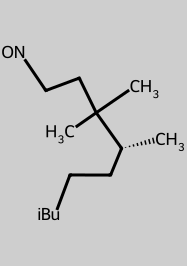 CCC(C)CC[C@@H](C)C(C)(C)CCN=O